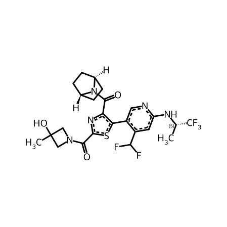 C[C@H](Nc1cc(C(F)F)c(-c2sc(C(=O)N3CC(C)(O)C3)nc2C(=O)N2[C@H]3CC[C@H]2CC3)cn1)C(F)(F)F